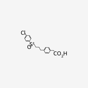 O=C(O)Cc1ccc(CCCC[S+]([O-])c2ccc(Cl)cc2)cc1